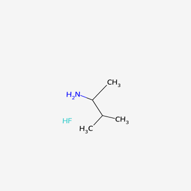 CC(C)C(C)N.F